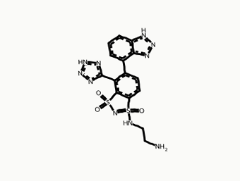 NCCNS1(=O)=NS(=O)(=O)c2c1ccc(-c1cccc3[nH]nnc13)c2-c1nn[nH]n1